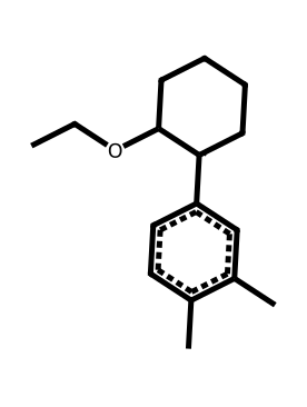 CCOC1CCCC[C]1c1ccc(C)c(C)c1